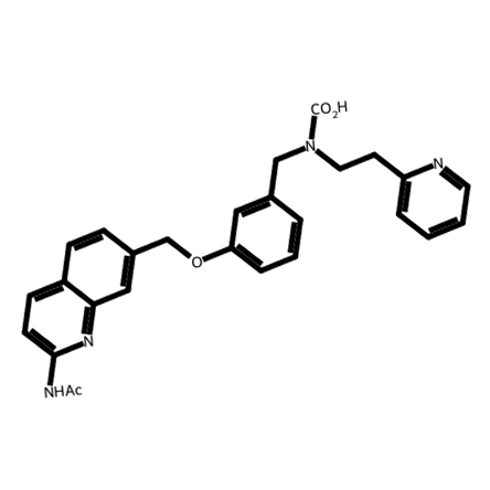 CC(=O)Nc1ccc2ccc(COc3cccc(CN(CCc4ccccn4)C(=O)O)c3)cc2n1